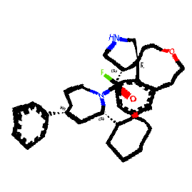 O=C([C@@H]1CNC[C@]12COCCc1cccc(F)c12)N1CC[C@@H](c2ccccc2)C[C@H]1C1CCCCC1